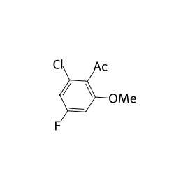 COc1cc(F)cc(Cl)c1C(C)=O